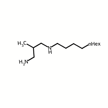 CCCCCCCCCCNCC(C)CN